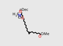 CCCCCCCCCCOCC(COCCCCCCCCC1CC1CCCCCC(=O)OC)N(C)C